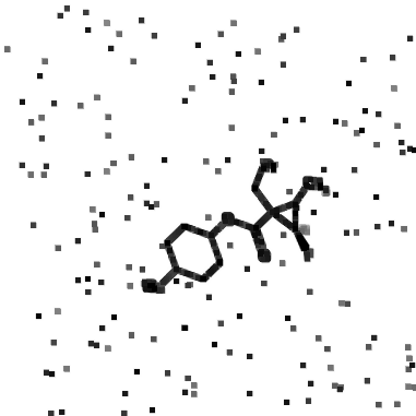 CC(C)CC1(C(=O)OC2CCC(C(C)(C)C)CC2)C(C)[C@H]1F